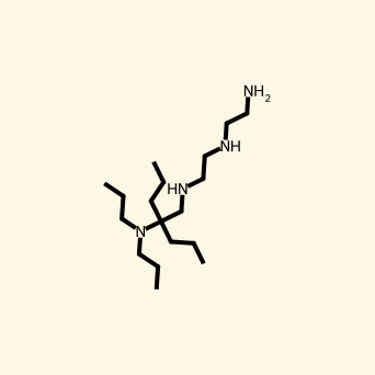 CCCN(CCC)C(CCC)(CCC)CNCCNCCN